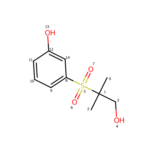 CC(C)(CO)S(=O)(=O)c1cccc(O)c1